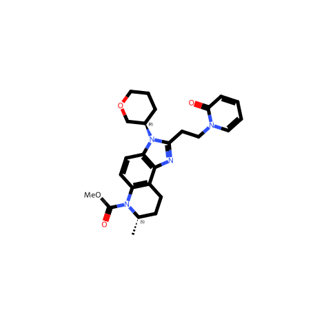 COC(=O)N1c2ccc3c(nc(CCn4ccccc4=O)n3[C@@H]3CCCOC3)c2CC[C@@H]1C